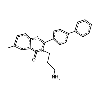 Cc1ccc2nc(-c3ccc(-c4ccccc4)cc3)n(CCCN)c(=O)c2c1